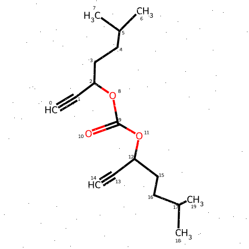 C#CC(CCC(C)C)OC(=O)OC(C#C)CCC(C)C